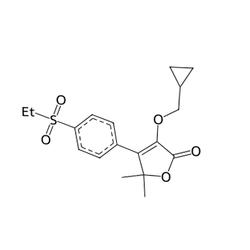 CCS(=O)(=O)c1ccc(C2=C(OCC3CC3)C(=O)OC2(C)C)cc1